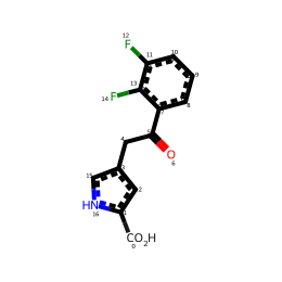 O=C(O)c1cc(CC(=O)c2cccc(F)c2F)c[nH]1